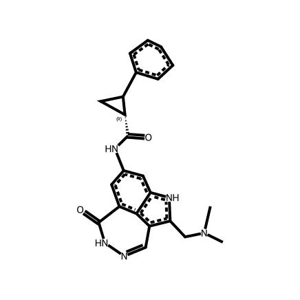 CN(C)Cc1[nH]c2cc(NC(=O)[C@@H]3CC3c3ccccc3)cc3c2c1C=NNC3=O